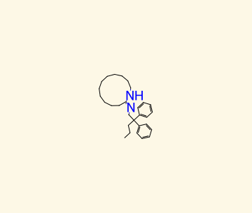 CCCC(C/N=C1\CCCCCCCCCCCN1)(c1ccccc1)c1ccccc1